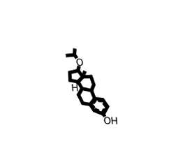 CC(C)OC1CC[C@H]2C3CCc4cc(O)ccc4C3CCC12C